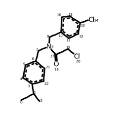 CC(C)c1ccc(CN(Cc2ccc(Cl)cc2)C(=O)CCl)cc1